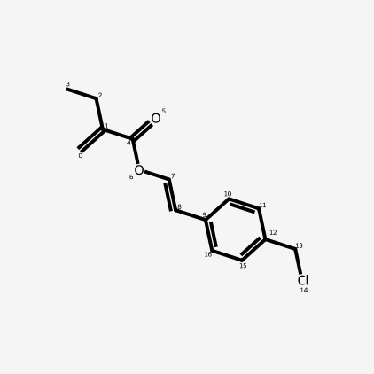 C=C(CC)C(=O)OC=Cc1ccc(CCl)cc1